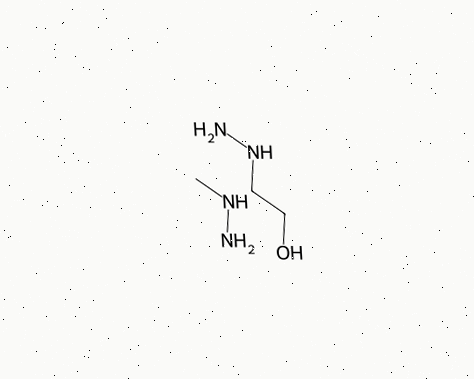 CNN.NNCCO